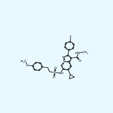 CNC(=O)c1c(-c2ccc(F)cc2)nn2cc(NS(=O)(=O)CCc3ccc(OC)cc3)c(C3CC3)cc12